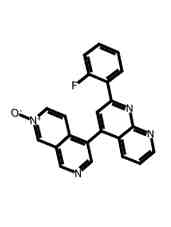 [O-][n+]1ccc2c(-c3cc(-c4ccccc4F)nc4ncccc34)cncc2c1